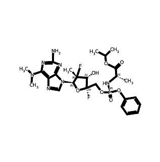 CC(C)OC(=O)[C@H](C)N[P@@](=O)(OC[C@@]1(F)O[C@@H](n2cnc3c(N(C)C)nc(N)nc32)[C@](C)(F)[C@@H]1O)Oc1ccccc1